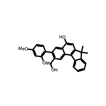 COc1ccc(-c2cc3c(O)cc4c(c3cc2CO)-c2ccccc2C4(C)C)c(OC)c1